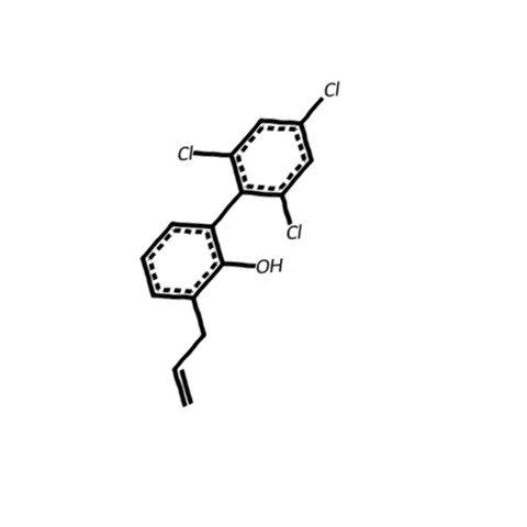 C=CCc1cccc(-c2c(Cl)cc(Cl)cc2Cl)c1O